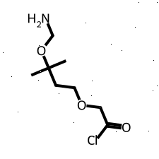 CC(C)(CCOCC(=O)Cl)OCN